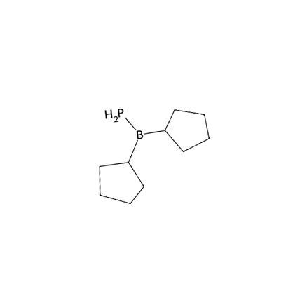 PB(C1CCCC1)C1CCCC1